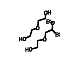 CCOC(CC)COCCO.OCCOCCO